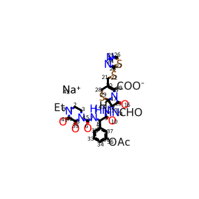 CCN1CCN(C(=O)NC(C(=O)N[C@]2(NC=O)C(=O)N3C(C(=O)[O-])=C(CSc4nncs4)CS[C@@H]32)c2cccc(OC(C)=O)c2)C(=O)C1=O.[Na+]